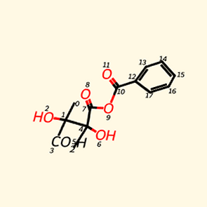 CC(O)(C(=O)O)C(C)(O)C(=O)OC(=O)c1ccccc1